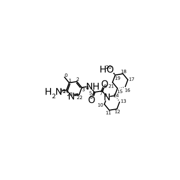 Cc1cc(NC(=O)C(=O)N2CCCC[C@H]2[C@H]2CCC[C@H](O)C2)cnc1N